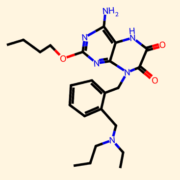 CCCCOc1nc(N)c2[nH]c(=O)c(=O)n(Cc3ccccc3CN(CC)CCC)c2n1